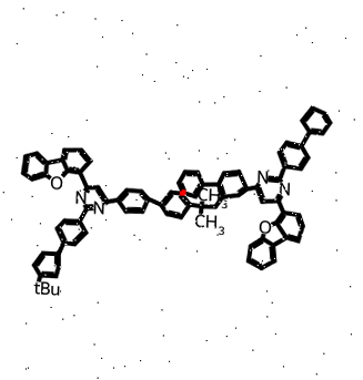 CC(C)(C)c1ccc(-c2ccc(-c3nc(-c4ccc(-c5ccc(C(C)(C)Cc6cc(-c7cc(-c8cccc9c8oc8ccccc89)nc(-c8ccc(-c9ccccc9)cc8)n7)ccc6-c6ccccc6)cc5)cc4)cc(-c4cccc5c4oc4ccccc45)n3)cc2)cc1